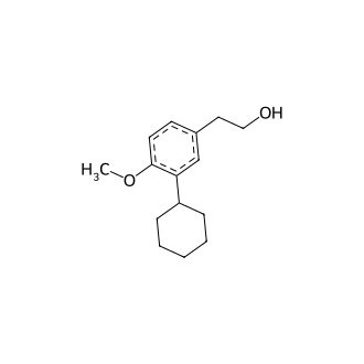 COc1ccc(CCO)cc1C1CCCCC1